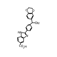 O=C(O)c1ccc2[nH]c(-c3ccc(C(O)c4ccc5c(c4)OCCO5)cc3)nc2c1